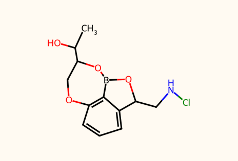 CC(O)C1COc2cccc3c2B(OC3CNCl)O1